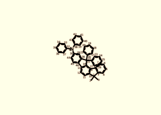 CC1(C)c2ccccc2-c2c1ccc1c2C(c2ccccc2)(c2ccccc2)c2cc(N(c3ccccc3)c3ccccc3)ccc2-1